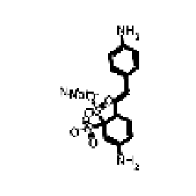 NC1=CC(S(=O)(=O)[O-])(S(=O)(=O)[O-])C(C=Cc2ccc(N)cc2)C=C1.[Na+].[Na+]